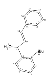 CCC(C)c1ccccc1C(C)C=Cc1ccccc1